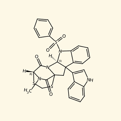 CN1C(=O)C23CC4(c5c[nH]c6ccccc56)c5ccccc5N(S(=O)(=O)c5ccccc5)[C@@H]4N2C(=O)[C@H]1SCS3